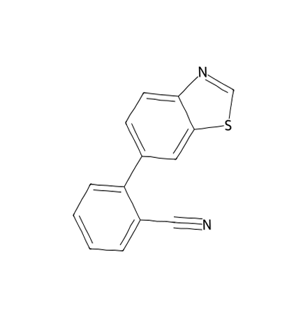 N#Cc1ccccc1-c1ccc2ncsc2c1